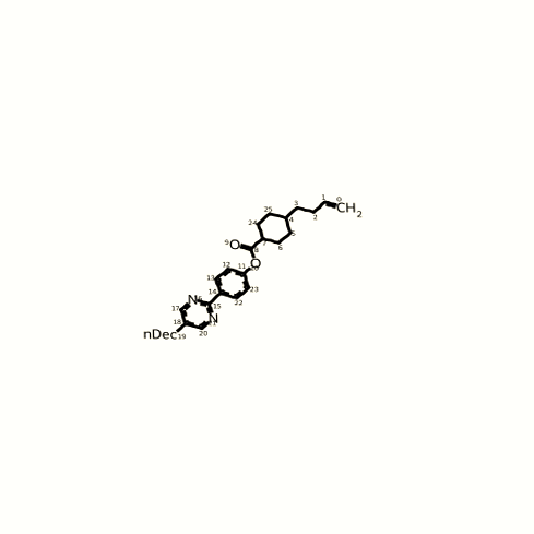 C=CCCC1CCC(C(=O)Oc2ccc(-c3ncc(CCCCCCCCCC)cn3)cc2)CC1